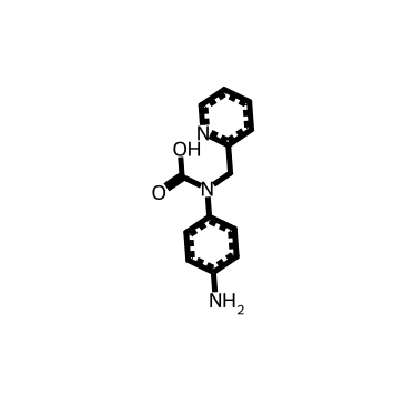 Nc1ccc(N(Cc2ccccn2)C(=O)O)cc1